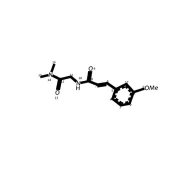 COc1cccc(/C=C/C(=O)NCC(=O)N(C)C)c1